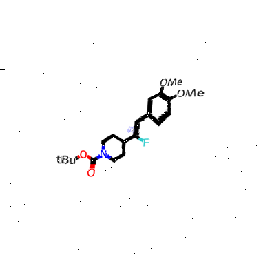 COc1ccc(/C=C(\F)C2CCN(C(=O)OC(C)(C)C)CC2)cc1OC